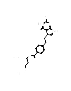 Nc1nc2[nH]cc(CCc3ccc(C(=O)N[C@@H](CCOC=O)C(=O)O)cc3)c2c(=O)[nH]1